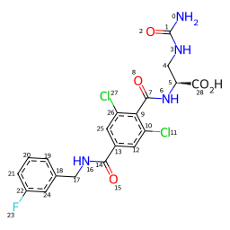 NC(=O)NC[C@H](NC(=O)c1c(Cl)cc(C(=O)NCc2cccc(F)c2)cc1Cl)C(=O)O